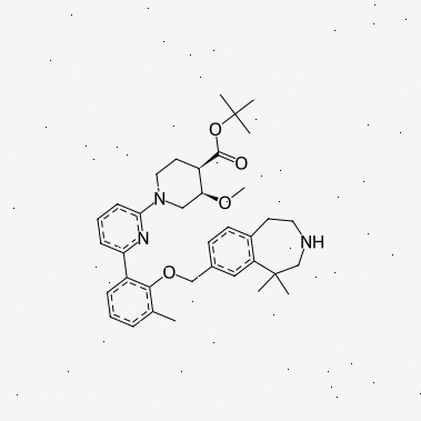 CO[C@H]1CN(c2cccc(-c3cccc(C)c3OCc3ccc4c(c3)C(C)(C)CNCC4)n2)CC[C@H]1C(=O)OC(C)(C)C